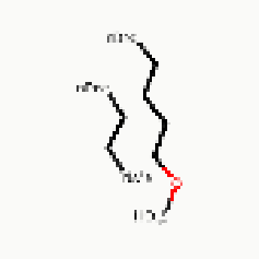 CCCCCCCCCCCCCCOS(=O)(=O)O.CCCCCCCCCCCCNC